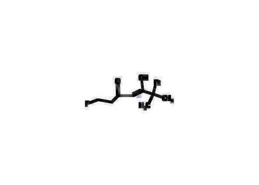 CCC(C)(C)/C(O)=C/C(=O)CCF